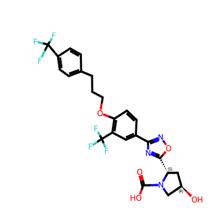 O=C(O)N1C[C@H](O)C[C@H]1c1nc(-c2ccc(OCCCc3ccc(C(F)(F)F)cc3)c(C(F)(F)F)c2)no1